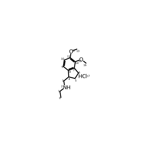 CCNCC1CCc2c1ccc(OC)c2OC.Cl